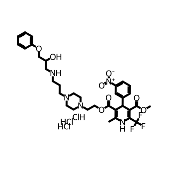 COC(=O)C1=C(C(F)(F)F)NC(C)=C(C(=O)OCCN2CCN(CCCNCC(O)COc3ccccc3)CC2)C1c1cccc([N+](=O)[O-])c1.Cl.Cl.Cl